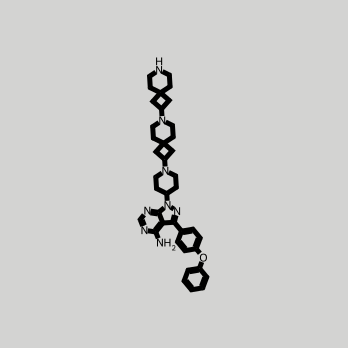 Nc1ncnc2c1c(-c1ccc(Oc3ccccc3)cc1)nn2C1CCN(C2CC3(CCN(C4CC5(CCNCC5)C4)CC3)C2)CC1